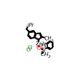 CC1=Cc2cc(CC(C)C)ccc2[CH]1[Zr+2][O][SiH](C)c1ccccc1.[Cl-].[Cl-]